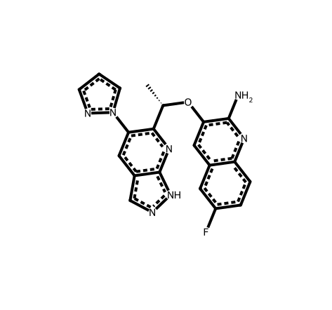 C[C@H](Oc1cc2cc(F)ccc2nc1N)c1nc2[nH]ncc2cc1-n1cccn1